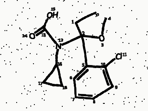 CCC(OC)(c1ccccc1Cl)N(C(=O)O)C1CC1